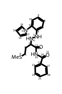 CSCCC(NNc1ccccc1-n1cccc1)C(=O)NC(=O)c1ccccc1